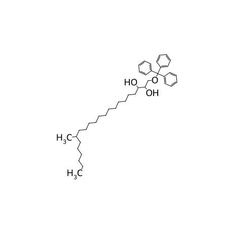 CCCCCCC(C)CCCCCCCCCCCCC(O)C(O)COC(c1ccccc1)(c1ccccc1)c1ccccc1